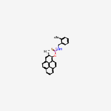 CCCc1ccccc1CN[PH](=S)Oc1c(C)cc2ccc3cccc4ccc1c2c34